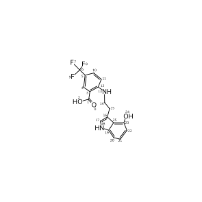 O=C(O)c1cc(C(F)(F)F)ccc1NCCc1c[nH]c2cccc(O)c12